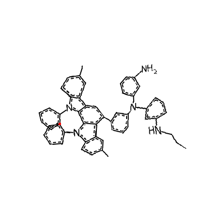 CCCNc1cccc(N(c2cccc(N)c2)c2cccc(-c3cc4c5cc(C)ccc5n(-c5ccccc5)c4c4c3c3cc(C)ccc3n4-c3ccccc3)c2)c1